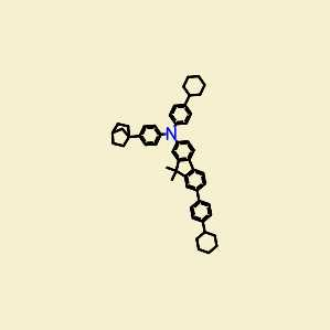 CC1(C)c2cc(-c3ccc(C4CCCCC4)cc3)ccc2-c2ccc(N(c3ccc(C4CCCCC4)cc3)c3ccc(C45CCC(CC4)C5)cc3)cc21